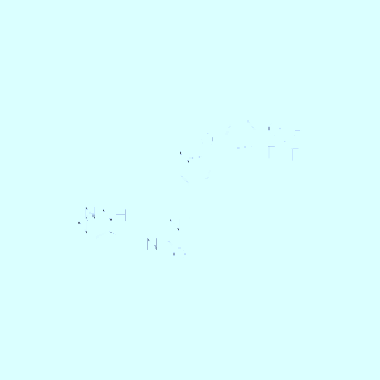 O=C(N1CC(c2ccc(Oc3ccc(OC(F)(F)F)cc3)nc2)C1)N1CC[C@@H](c2cnn[nH]2)C1